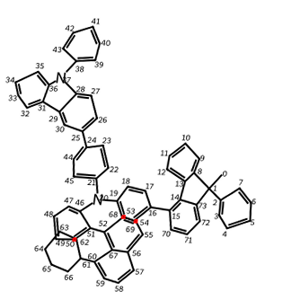 CC1(c2ccccc2)c2ccccc2-c2c(-c3ccc(N(c4ccc(-c5ccc6c(c5)c5ccccc5n6-c5ccccc5)cc4)c4ccccc4-c4cccc5cccc(C6CCCCC6)c45)cc3)cccc21